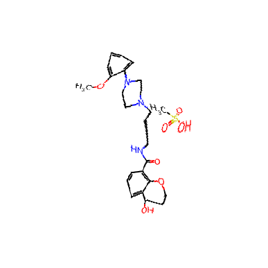 COc1ccccc1N1CCN(CCCNC(=O)c2cccc3c2OCCC3O)CC1.CS(=O)(=O)O